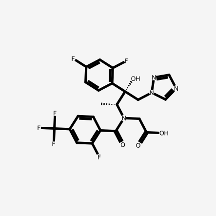 C[C@@H](N(CC(=O)O)C(=O)c1ccc(C(F)(F)F)cc1F)[C@](O)(Cn1cncn1)c1ccc(F)cc1F